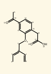 C=C/C(=C\C)COc1cc(C(C)=O)ccc1CC(=O)O